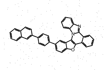 c1ccc2cc(-c3ccc(-c4ccc5oc6c7ccccc7c7nc8ccccc8n7c6c5c4)cc3)ccc2c1